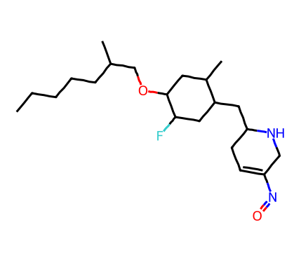 CCCCCC(C)COC1CC(C)C(CC2CC=C(N=O)CN2)CC1F